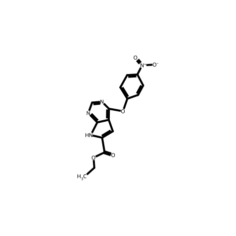 CCOC(=O)c1cc2c(Oc3ccc([N+](=O)[O-])cc3)ncnc2[nH]1